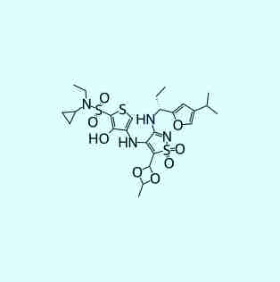 CC[C@@H](NC1=NS(=O)(=O)C(C2OC(C)O2)=C1Nc1csc(S(=O)(=O)N(CC)C2CC2)c1O)c1cc(C(C)C)co1